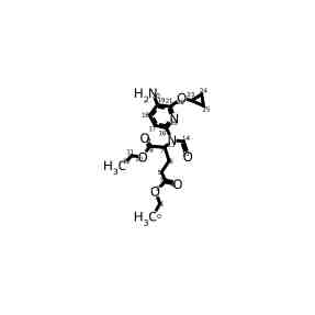 CCOC(=O)CCC(C(=O)OCC)N(C=O)c1ccc(N)c(OC2CC2)n1